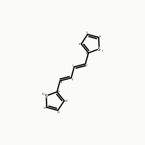 C(/C=C/c1cccs1)=C\c1cccs1